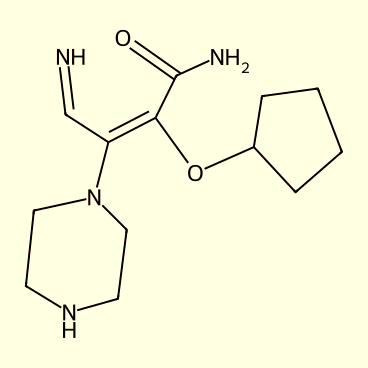 N=C/C(=C(/OC1CCCC1)C(N)=O)N1CCNCC1